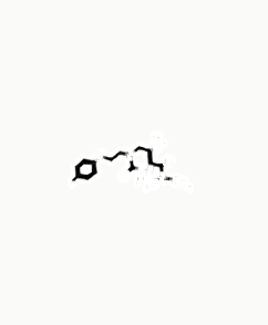 CC(=CC(=O)N(C)C)CN(CCOc1ccc(I)cc1)C(=O)O